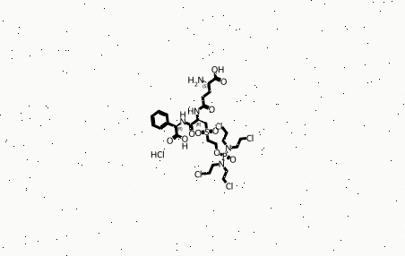 Cl.N[C@@H](CCC(=O)N[C@@H](CS(=O)(=O)CCOP(=O)(N(CCCl)CCCl)N(CCCl)CCCl)C(=O)N[C@@H](C(=O)O)c1ccccc1)C(=O)O